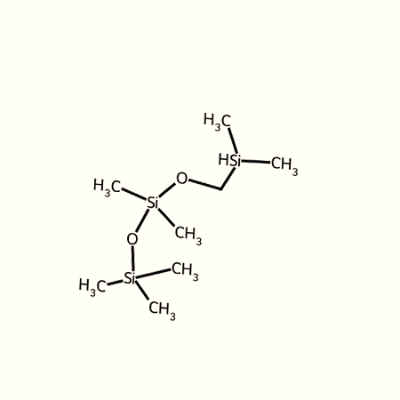 C[SiH](C)CO[Si](C)(C)O[Si](C)(C)C